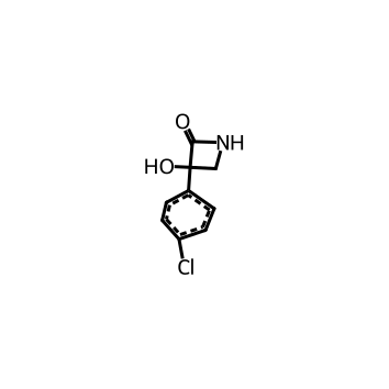 O=C1NCC1(O)c1ccc(Cl)cc1